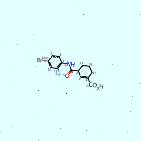 O=C(O)C1=CC(C(=O)Nc2ccc(Br)cc2F)CCC1